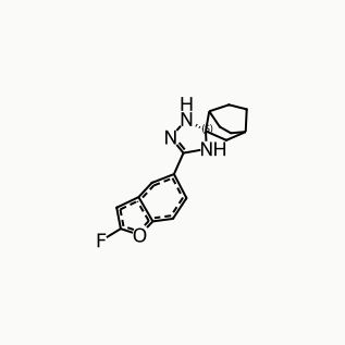 Fc1cc2cc(C3=NN[C@]4(CC5CCC4CC5)N3)ccc2o1